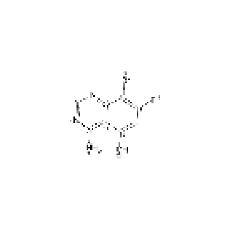 Nc1ncnc2c(Br)c(F)cc(O)c12